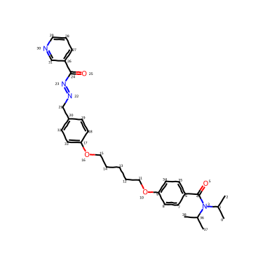 CC(C)N(C(=O)c1ccc(OCCCCCOc2ccc(CN=NC(=O)c3cccnc3)cc2)cc1)C(C)C